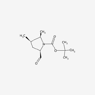 C[C@@H]1C[C@H](C=O)N(C(=O)OC(C)(C)C)[C@@H]1C